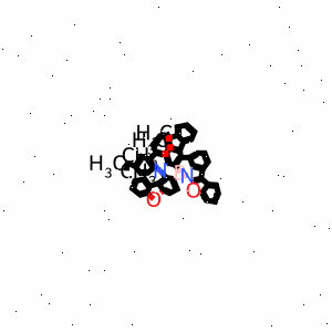 CC(C)(C)c1ccc(N2c3cc4c(c5c3B(c3ccc6oc7ccccc7c6c32)n2c3oc6ccccc6c3c3cccc-5c32)-c2ccccc2C4(C)C)c(-c2ccccc2)c1